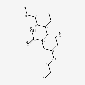 CCCCC(CC)CN(CC(CC)CCCC)C(=O)O.[Ni]